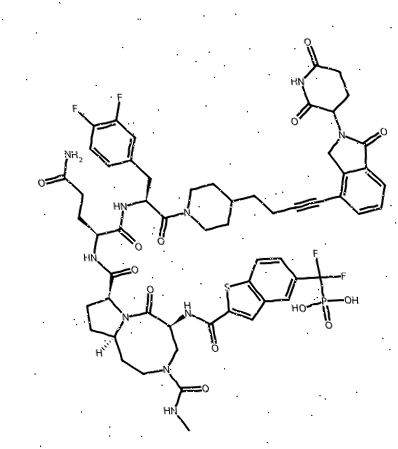 CNC(=O)N1CC[C@H]2CC[C@@H](C(=O)N[C@@H](CCC(N)=O)C(=O)N[C@@H](Cc3ccc(F)c(F)c3)C(=O)N3CCC(CCC#Cc4cccc5c4CN(C4CCC(=O)NC4=O)C5=O)CC3)N2C(=O)[C@@H](NC(=O)c2cc3cc(C(F)(F)P(=O)(O)O)ccc3s2)C1